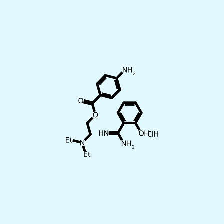 CCN(CC)CCOC(=O)c1ccc(N)cc1.Cl.N=C(N)c1ccccc1O